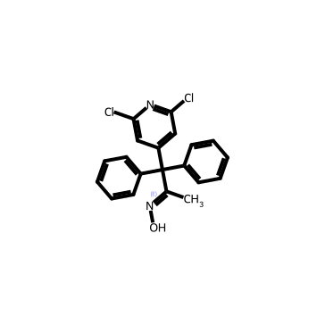 C/C(=N\O)C(c1ccccc1)(c1ccccc1)c1cc(Cl)nc(Cl)c1